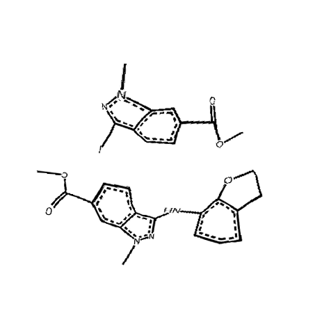 COC(=O)c1ccc2c(I)nn(C)c2c1.COC(=O)c1ccc2c(Nc3cccc4c3OCC4)nn(C)c2c1